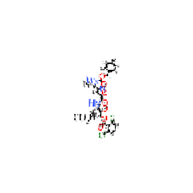 CC(C)[C@H](NC(=O)OCc1ccccc1)C1=NOC(C(=O)N[C@@H](CC(=O)O)C(=O)COC(=O)c2c(Cl)cccc2Cl)C1